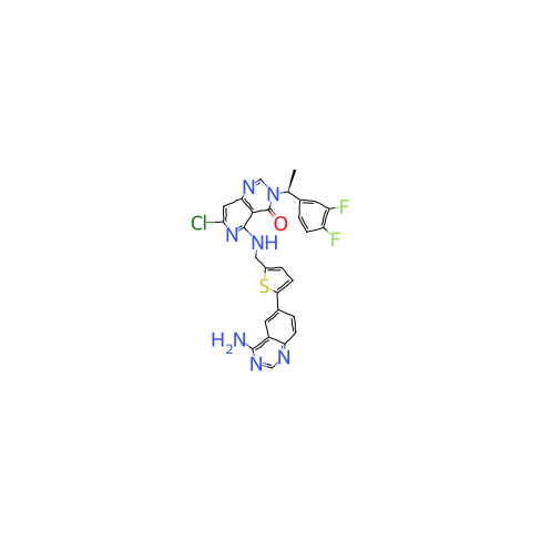 C[C@@H](c1ccc(F)c(F)c1)n1cnc2cc(Cl)nc(NCc3ccc(-c4ccc5ncnc(N)c5c4)s3)c2c1=O